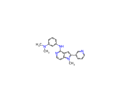 CN(C)c1cccc(Nc2nccc3c2cc(-c2cccnc2)n3C)c1